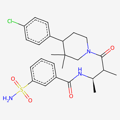 CC(C(=O)N1CCC(c2ccc(Cl)cc2)C(C)(C)C1)[C@@H](C)NC(=O)c1cccc(S(N)(=O)=O)c1